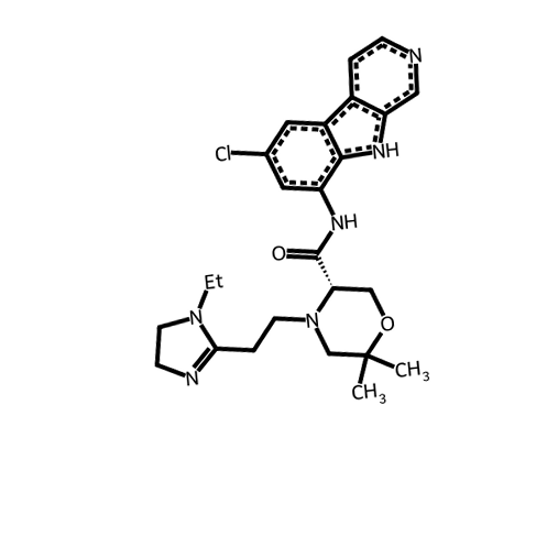 CCN1CCN=C1CCN1CC(C)(C)OC[C@H]1C(=O)Nc1cc(Cl)cc2c1[nH]c1cnccc12